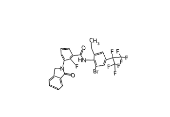 CCc1cc(C(F)(C(F)(F)F)C(F)(F)F)cc(Br)c1NC(=O)c1cccc(N2Cc3ccccc3C2=O)c1F